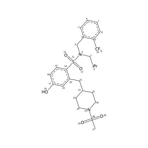 CC(C)CN(Cc1ccccc1C(F)(F)F)S(=O)(=O)c1ccc(O)cc1CC1CCN(S(C)(=O)=O)CC1